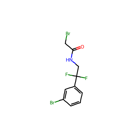 O=C(CBr)NCC(F)(F)c1cccc(Br)c1